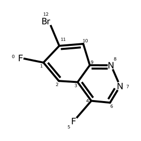 Fc1cc2c(F)cnnc2cc1Br